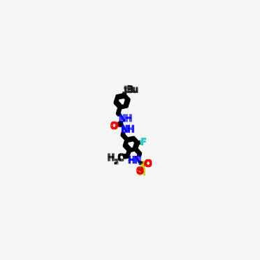 C=Cc1cc(CNC(=O)NCc2ccc(C(C)(C)C)cc2)cc(F)c1CN[SH](=O)=O